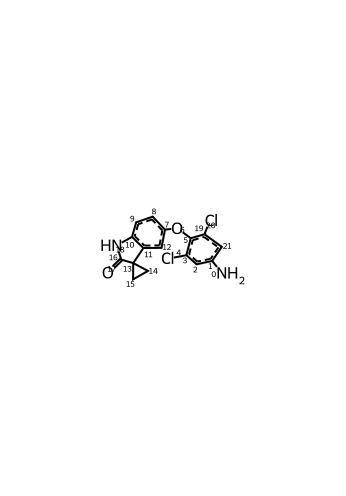 Nc1cc(Cl)c(Oc2ccc3c(c2)C2(CC2)C(=O)N3)c(Cl)c1